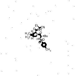 CC[C@@H](C#N)NC(=O)[C@@H]1[C@@H]2[C@H](CN1C(=O)[C@@H](NS(=O)(=O)c1ccc(C)cc1)C(C)(C)C)C2(C)C